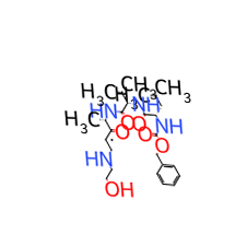 CC(C)C[C@H](NC(=O)OCc1ccccc1)C(=O)N[C@H](C(=O)N[C@@H](C)C(=O)[CH]CNCCO)C(C)C